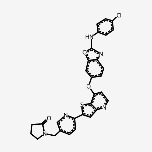 O=C1CCCN1Cc1ccc(-c2cc3nccc(Oc4ccc5nc(Nc6ccc(Cl)cc6)oc5c4)c3s2)nc1